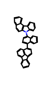 c1ccc2c(c1)-c1cccc3c(-c4ccc(-n5c6ccccc6c6c7ccccc7ccc65)c5ccccc45)ccc-2c13